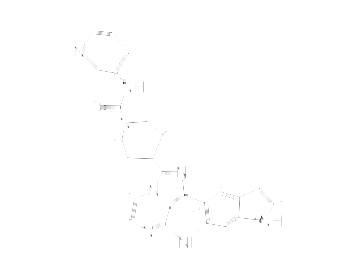 Nc1nccn2c(C3CCN(C(=O)Nc4cccnc4)CC3)nc(-c3ccc4[nH]ccc4c3)c12